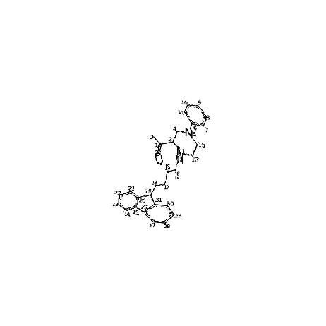 CC(=O)C1CN(c2ccccc2)CCN1CCCCC1c2ccccc2-c2ccccc21